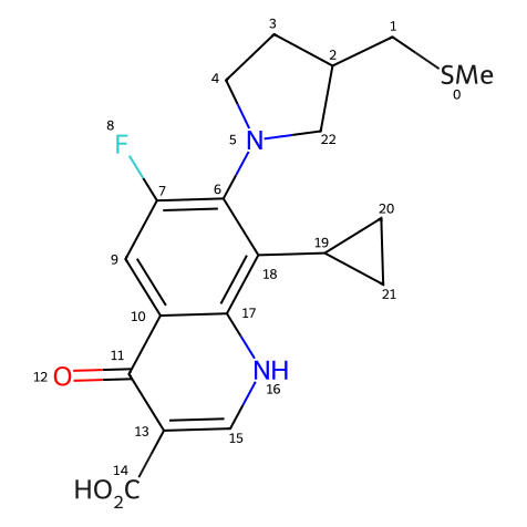 CSCC1CCN(c2c(F)cc3c(=O)c(C(=O)O)c[nH]c3c2C2CC2)C1